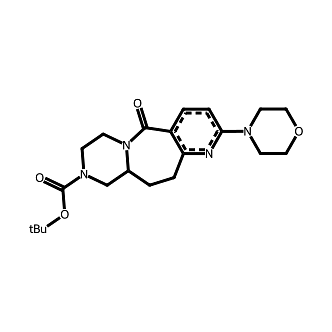 CC(C)(C)OC(=O)N1CCN2C(=O)c3ccc(N4CCOCC4)nc3CCC2C1